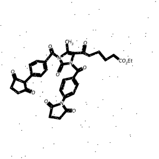 CCOC(=O)CCCCC(=O)c1c(C)n(C(=O)c2ccc(C3C(=O)CCC3=O)cc2)c(=O)n1C(=O)c1ccc(N2C(=O)CCC2=O)cc1